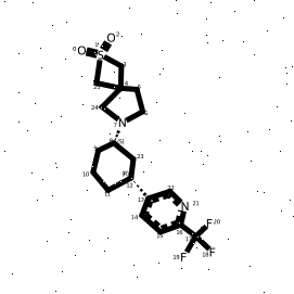 O=S1(=O)CC2(CCN([C@H]3CCC[C@@H](c4ccc(C(F)(F)F)nc4)C3)C2)C1